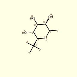 CC1O[C@@H](C(C)(C)C)[C@H](O)C(O)[C@H]1O